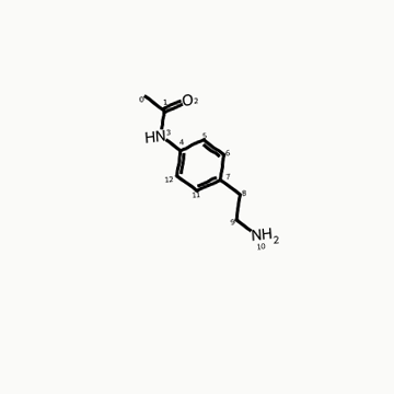 CC(=O)Nc1ccc(CCN)cc1